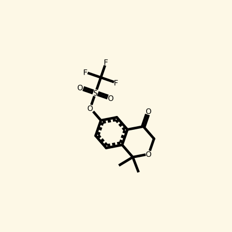 CC1(C)OCC(=O)c2cc(OS(=O)(=O)C(F)(F)F)ccc21